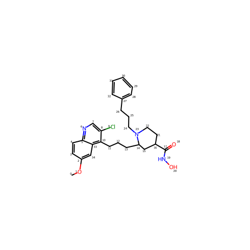 COc1ccc2ncc(Cl)c(CCCC3CC(C(=O)NO)CCN3CCCc3ccccc3)c2c1